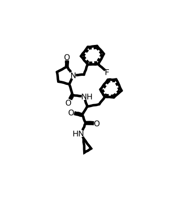 O=C(NC1CC1)C(=O)C(Cc1ccccc1)NC(=O)C1CCC(=O)N1Cc1ccccc1F